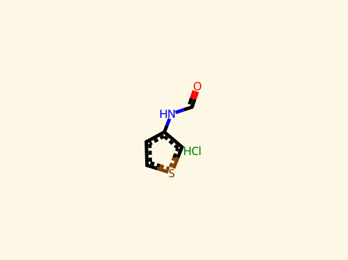 Cl.O=CNc1ccsc1